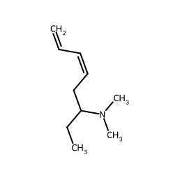 C=C/C=C\CC(CC)N(C)C